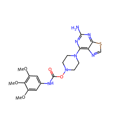 COc1cc(NC(=O)ON2CCN(c3nc(N)nc4scnc34)CC2)cc(OC)c1OC